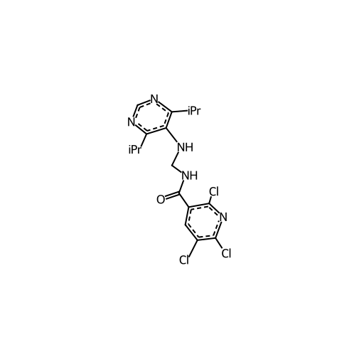 CC(C)c1ncnc(C(C)C)c1NCNC(=O)c1cc(Cl)c(Cl)nc1Cl